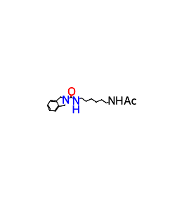 CC(=O)NCCCCCCNC(=O)N1Cc2ccccc2C1